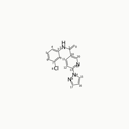 C=C(Nc1cccc(Cl)c1)c1ccc(-n2cccn2)nc1